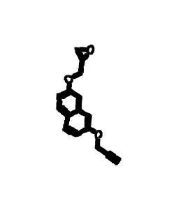 C#CCOc1ccc2ccc(OCC3CO3)cc2c1